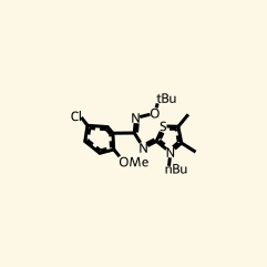 CCCCn1c(C)c(C)sc1=NC(=NOC(C)(C)C)c1cc(Cl)ccc1OC